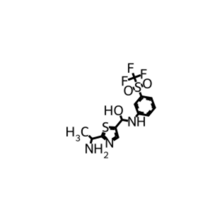 CC(N)c1ncc(C(O)Nc2cccc(S(=O)(=O)C(F)(F)F)c2)s1